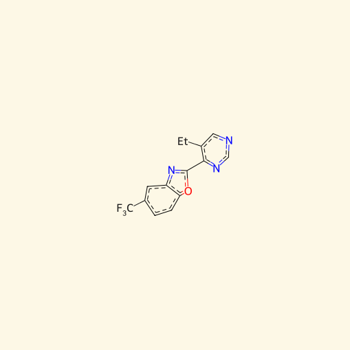 CCc1cncnc1-c1nc2cc(C(F)(F)F)ccc2o1